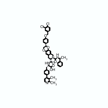 Cc1nccc(-c2ccc(C[C@H](NC(=O)[C@@H]3Cc4cc5c(cc4CN3C(=O)N[C@H](C)c3ccccc3)O[C@H](c3ccc(OCc4ccc(Cl)c(Cl)c4)cc3)CO5)C(=O)O)cc2)c1C